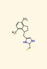 Cc1ccc(C)c2c1CCC2CC1=CNC(C=S)N1